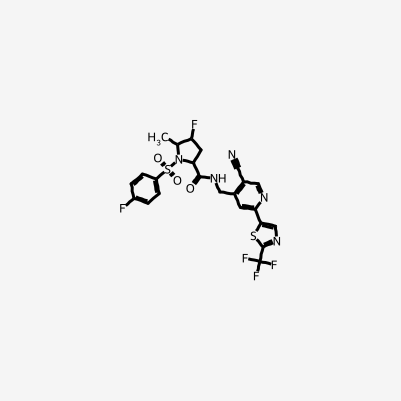 CC1C(F)CC(C(=O)NCc2cc(-c3cnc(C(F)(F)F)s3)ncc2C#N)N1S(=O)(=O)c1ccc(F)cc1